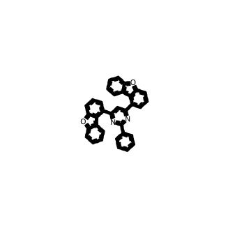 c1ccc(-c2nc(-c3cccc4oc5ccccc5c34)cc(-c3cccc4oc5ccccc5c34)n2)cc1